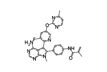 C=C(C)C(=O)Nc1ccc(-c2c(-c3ncc(Oc4nccc(C)n4)cc3F)c3c(N)ncnc3n2C)cc1